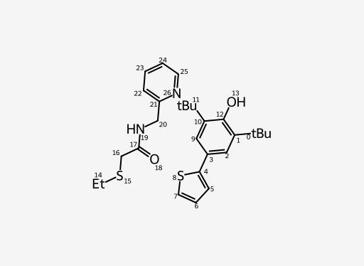 CC(C)(C)c1cc(-c2cccs2)cc(C(C)(C)C)c1O.CCSCC(=O)NCc1ccccn1